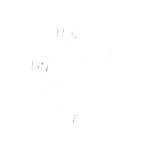 Cc1ccccc1-c1c[nH]c2ccc(F)cc12